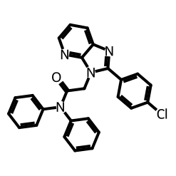 O=C(Cn1c(-c2ccc(Cl)cc2)nc2cccnc21)N(c1ccccc1)c1ccccc1